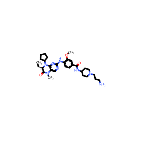 CC[C@@H]1C(=O)N(C)c2cnc(Nc3ccc(C(=O)NC4CCN(CCCN)CC4)cc3OC)nc2N1C1CCCC1